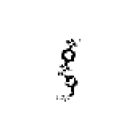 CCOC(=O)Cc1csc(NS(=O)(=O)c2ccc(S(C)(=O)=O)cc2)n1